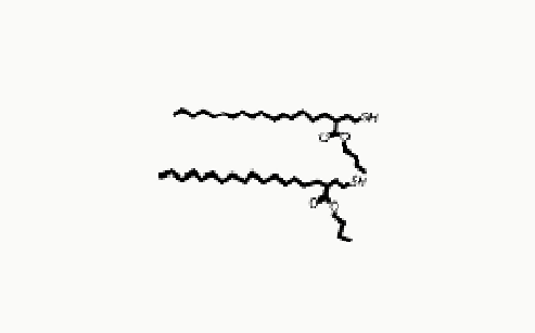 CCCCCCCCCCCCCCCCC(CCS)C(=O)OCCCC.CCCCCCCCCCCCCCCCC(CCS)C(=O)OCCCC